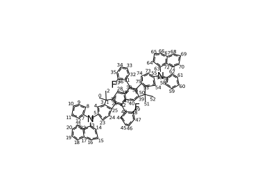 CC1(C)c2cc(N(c3ccccc3)c3cccc4ccccc34)ccc2-c2c1cc1c(-c3ccccc3F)c3c(cc1c2-c1ccccc1F)C(C)(C)c1cc(N(c2ccccc2)c2cccc4ccccc24)ccc1-3